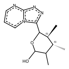 CC1C(O)OC(c2nnc3ncccn23)[C@@H](C)[C@@H]1C